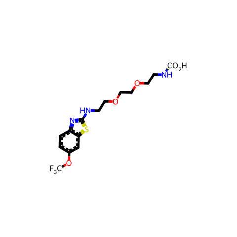 O=C(O)NCCOCCOCCNc1nc2ccc(OC(F)(F)F)cc2s1